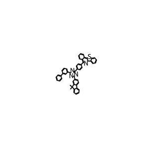 CC1(C)c2ccccc2-c2ccc(-c3nc(-c4ccc(-c5nc6c7ccccc7sc6c6ccccc56)cc4)nc(-c4cccc(-c5ccccc5)c4)n3)cc21